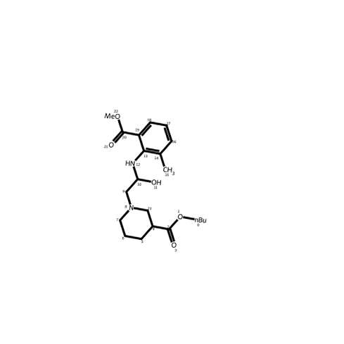 CCCCOC(=O)C1CCCN(CC(O)Nc2c(C)cccc2C(=O)OC)C1